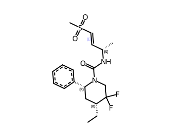 CC[C@@H]1C[C@H](c2ccccc2)N(C(=O)N[C@@H](C)/C=C/S(C)(=O)=O)CC1(F)F